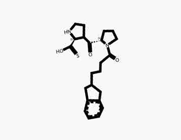 O=C(C1CCN[C@@H]1C(O)=S)[C@@H]1CCCN1C(=O)CCCC1Cc2ccccc2C1